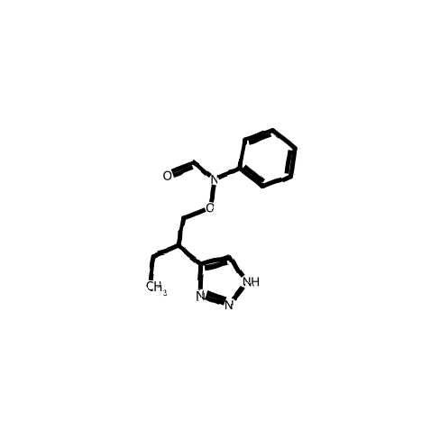 CCC(CON([C]=O)c1ccccc1)c1c[nH]nn1